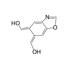 OC=c1cc2ncoc2cc1=CO